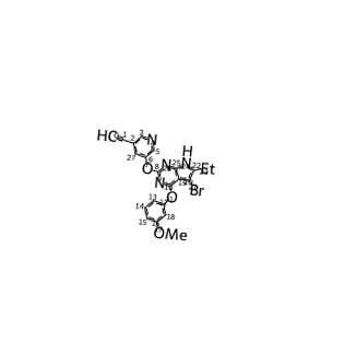 C#Cc1cncc(Oc2nc(Oc3cccc(OC)c3)c3c(Br)c(CC)[nH]c3n2)c1